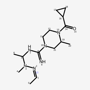 C/C=N\N(C)C(C)NC(=N)N1CCN(C(=O)C2CC2)C(C)C1